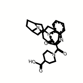 O=C(O)C1CCN(C(=O)c2nc3ccccc3n(C3CC4CCC(C3)N4C3CCCCCCC3)c2=O)CC1